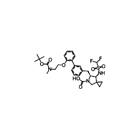 CN(CCOc1ccccc1-c1cccc(C[C@H]2[C@@H](NS(=O)(=O)C(F)F)C3(CC3)CN2C(=O)O)c1)C(=O)OC(C)(C)C